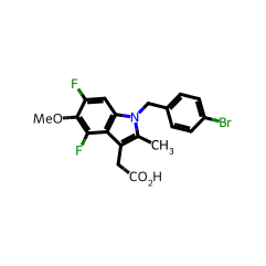 COc1c(F)cc2c(c1F)c(CC(=O)O)c(C)n2Cc1ccc(Br)cc1